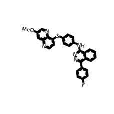 COc1cnc2c(Sc3ccc(Nc4nnc(-c5ccc(F)cc5)c5ccccc45)cc3)ccnc2c1